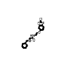 O=C(CNCc1ccccc1)NCCOc1ccc2nc(Cl)oc2c1